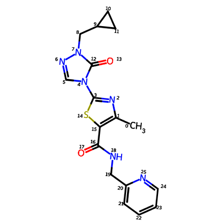 Cc1nc(-n2cnn(CC3CC3)c2=O)sc1C(=O)NCc1ccccn1